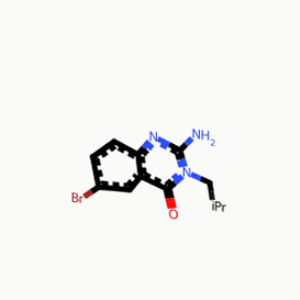 CC(C)Cn1c(N)nc2ccc(Br)cc2c1=O